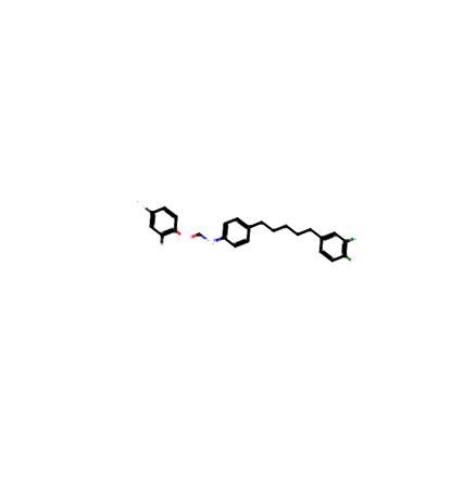 O=C(O)c1cc([N+](=O)[O-])ccc1OCNc1ccc(CCCCCc2ccc(Cl)c(Cl)c2)cc1